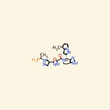 Cc1cccn2nc([C@@H]3c4nc[nH]c4CCN3C(=O)c3nnc(-c4cnn(C(C)P)c4)o3)cc12